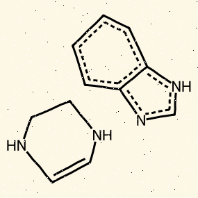 C1=CNCCN1.c1ccc2[nH]cnc2c1